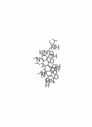 CCN(c1c(C)c(NC(=O)CNC(C)(CC)C(C)C)c(O)c2c1C(C)(C)[C@]1(C)C(=C(O)[C@]3(O)C(=O)C(C(=O)NC)=C(O)C(N(C)C(C)C)[C@@H]3C1C)C2=O)C(C)C